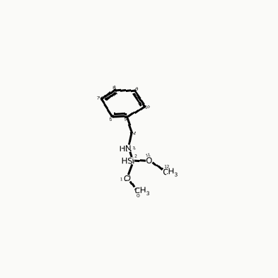 CO[SiH](NCc1ccccc1)OC